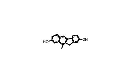 Cc1c2c(cc3ccc(O)cc13)-c1ccc(O)cc1C2